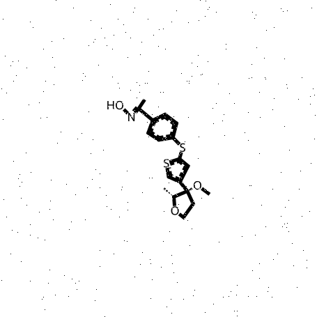 CO[C@]1(c2csc(Sc3ccc(C(C)=NO)cc3)c2)CCO[C@@H]1C